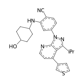 CC(C)c1nn(-c2ccc(C#N)c(NC3CCC(O)CC3)c2)c2nccc(-c3ccsc3)c12